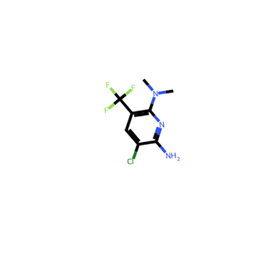 CN(C)c1nc(N)c(Cl)cc1C(F)(F)F